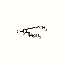 CCCCCCc1cc(Cl)sc1Br.[MgH2]